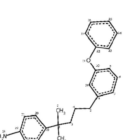 CC(C)(CCCc1cccc(Oc2ccccc2)c1)c1ccc([N+](=O)[O-])cc1